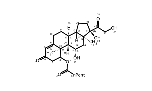 CCCCCC(=O)OC1CC(=O)C=C2CC[C@@H]3[C@H]([C@@H](O)C[C@@]4(C)[C@H]3CC[C@]4(O)C(=O)CO)[C@]21C